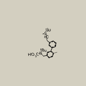 Cc1ccc(CN(C(=O)O)C(C)(C)C)cc1-c1cccc(CO[SiH](C)C(C)(C)C)c1